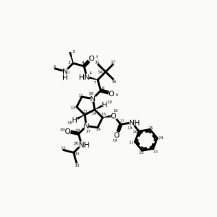 CN[C@@H](C)C(=O)N[C@H](C(=O)N1CC[C@@H]2[C@H]1[C@@H](OC(=O)Nc1ccccc1)CN2C(=O)NC(C)C)C(C)(C)C